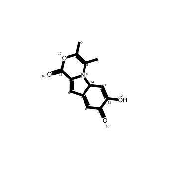 CC1=C(C)N2C(=CC3=CC(=O)C(O)=CC32)C(=O)O1